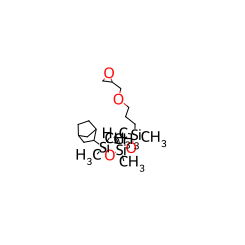 C[Si](C)(CCCOCC1CO1)O[Si](C)(C)O[Si](C)(C)C1CC2CCC1C2